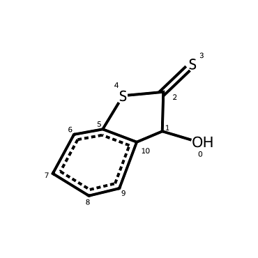 OC1C(=S)Sc2ccccc21